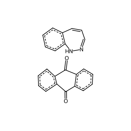 C1=Cc2ccccc2NN=C1.O=C1c2ccccc2C(=O)c2ccccc21